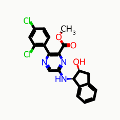 COC(=O)c1nc(N[C@@H]2c3ccccc3C[C@@H]2O)cnc1-c1ccc(Cl)cc1Cl